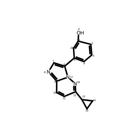 Oc1cccc(-c2cnc3ccc(C4CC4)nn23)c1